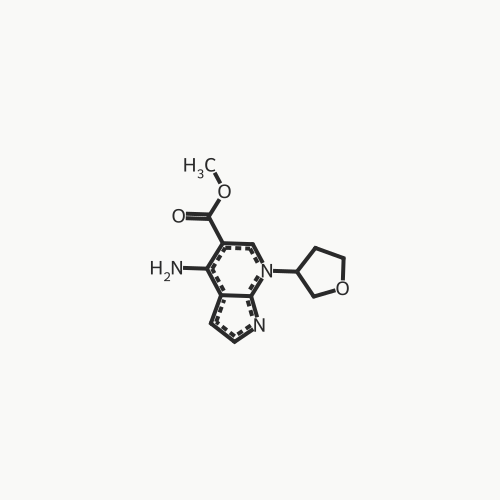 COC(=O)c1cn(C2CCOC2)c2nccc-2c1N